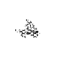 CCS(=O)(=O)c1ccc(NC(=O)O)cc1[C@H]1CCCN1C(=O)[C@@H](Nc1ccc2c(N)nccc2c1)c1ccc(OC)c(OC)c1